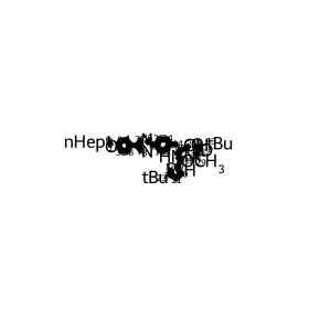 CCCCCCCOc1ccc(-c2cnc(-c3ccc(C[C@H](NC(=O)c4ccc(C(C)(C)C)s4)C(O)N[C@H](C)C(=O)OC(C)(C)C)cc3)nc2)cc1